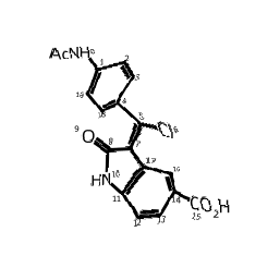 CC(=O)Nc1ccc(C(Cl)=C2C(=O)Nc3ccc(C(=O)O)cc32)cc1